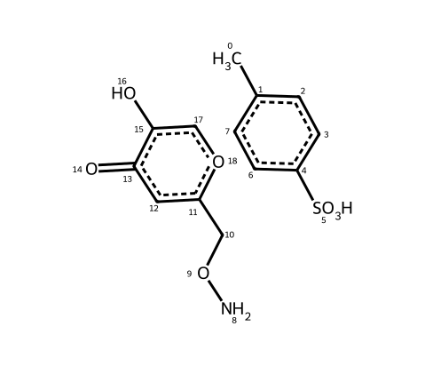 Cc1ccc(S(=O)(=O)O)cc1.NOCc1cc(=O)c(O)co1